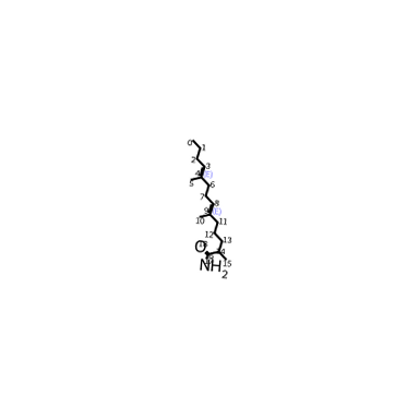 CCC/C=C(\C)CC/C=C(\C)CCCC(C)C(N)=O